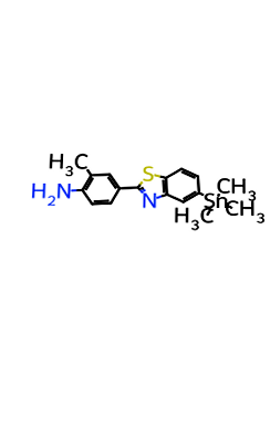 Cc1cc(-c2nc3c[c]([Sn]([CH3])([CH3])[CH3])ccc3s2)ccc1N